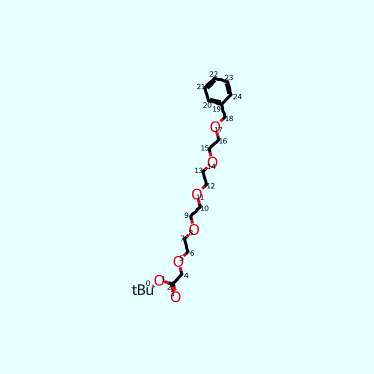 CC(C)(C)OC(=O)COCCOCCOCCOCCOCc1ccccc1